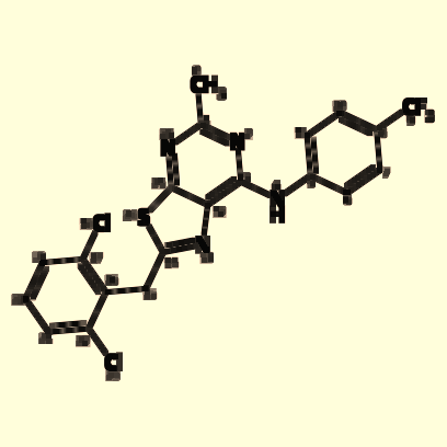 Cc1nc(Nc2ccc(C(F)(F)F)cc2)c2nc(Cc3c(Cl)cccc3Cl)sc2n1